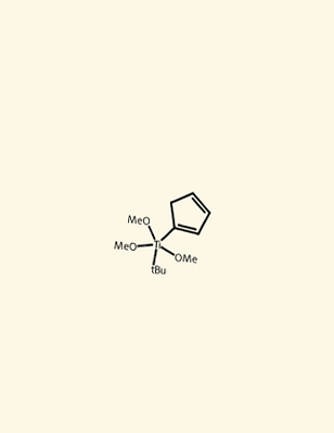 C[O][Ti]([O]C)([O]C)([C]1=CC=CC1)[C](C)(C)C